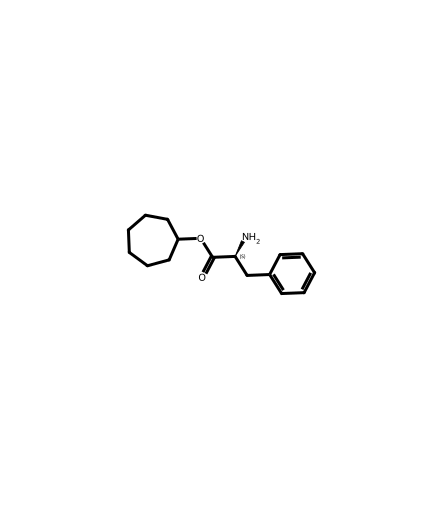 N[C@@H](Cc1ccccc1)C(=O)OC1CCCCCC1